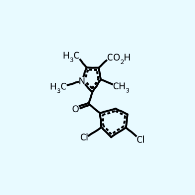 Cc1c(C(=O)O)c(C)n(C)c1C(=O)c1ccc(Cl)cc1Cl